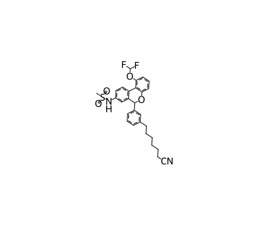 CS(=O)(=O)Nc1ccc2c(c1)C(c1cccc(CCCCCCC#N)c1)Oc1cccc(OC(F)F)c1-2